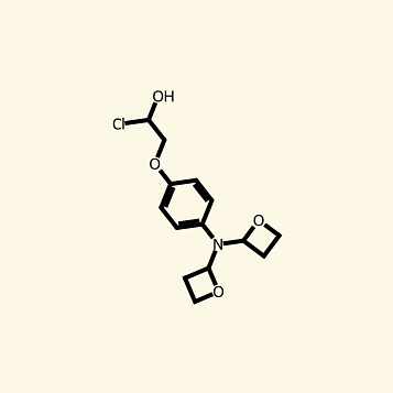 OC(Cl)COc1ccc(N(C2CCO2)C2CCO2)cc1